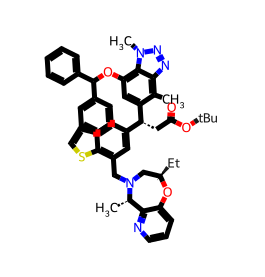 CC[C@@H]1CN(Cc2cc([C@@H](CC(=O)OC(C)(C)C)c3cc(OC(c4ccccc4)c4ccccc4)c4c(nnn4C)c3C)cc3ccsc23)[C@@H](C)c2ncccc2O1